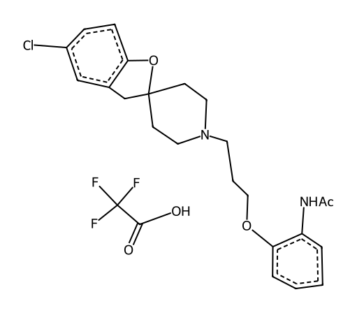 CC(=O)Nc1ccccc1OCCCN1CCC2(CC1)Cc1cc(Cl)ccc1O2.O=C(O)C(F)(F)F